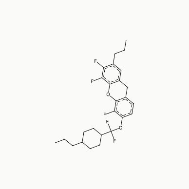 CCCc1cc2c(c(F)c1F)Oc1c(ccc(OC(F)(F)C3CCC(CCC)CC3)c1F)C2